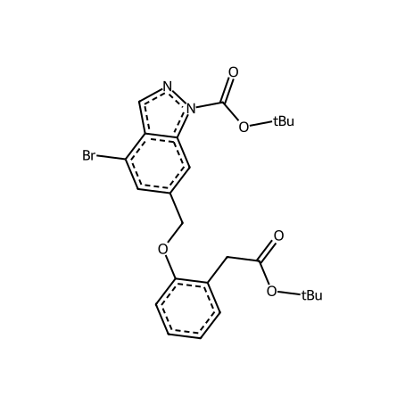 CC(C)(C)OC(=O)Cc1ccccc1OCc1cc(Br)c2cnn(C(=O)OC(C)(C)C)c2c1